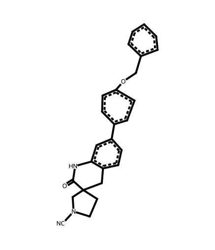 N#CN1CCC2(Cc3ccc(-c4ccc(OCc5ccccc5)cc4)cc3NC2=O)C1